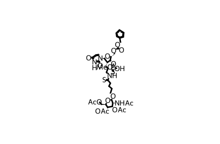 COP(O)(=S)OC1[C@@H](COC(=O)OCc2ccccc2)O[C@@H](n2ccc(=O)[nH]c2=O)[C@H]1CCCNC(=S)CCCCO[C@@H]1O[C@H](COC(C)=O)[C@H](OC(C)=O)[C@H](OC(C)=O)[C@H]1NC(C)=O